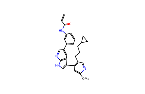 C=CC(=O)Nc1cccc(-c2cnc3[nH]cc(-c4cc(OC)ncc4CCCC4CC4)c3c2)c1